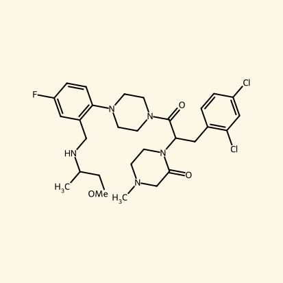 COCC(C)NCc1cc(F)ccc1N1CCN(C(=O)C(Cc2ccc(Cl)cc2Cl)N2CCN(C)CC2=O)CC1